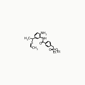 C/C=C\SC(C)c1ccc(N)c(NC(=O)c2ccc(CP(=O)(CC)OCC)cc2)c1